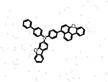 c1ccc(-c2ccc(N(c3ccc(-c4ccc5c6c(cccc46)-c4ccccc4O5)cc3)c3ccc4c(c3)oc3ccccc34)cc2)cc1